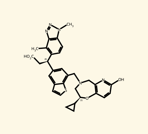 Cc1c([C@H](CC(=O)O)c2cc(CN3Cc4nc(O)ccc4O[C@@H](C4CC4)C3)c3sccc3c2)ccc2c1nnn2C